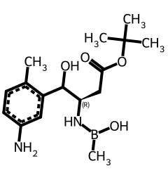 CB(O)N[C@H](CC(=O)OC(C)(C)C)C(O)c1cc(N)ccc1C